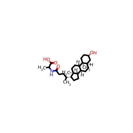 CC(NC(=O)CCC(C)[C@H]1CC[C@H]2[C@@H]3CC[C@@H]4C[C@H](O)CC[C@]4(C)[C@H]3CC[C@]12C)C(=O)O